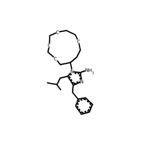 CC(C)Cc1c(Cc2ccccc2)nc(N)n1C1CCCCCCCCCCC1